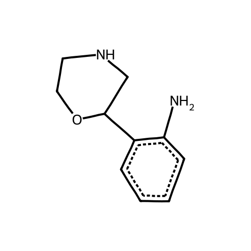 Nc1ccccc1C1CNCCO1